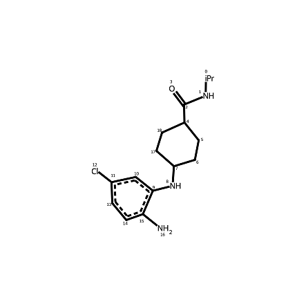 CC(C)NC(=O)C1CCC(Nc2cc(Cl)ccc2N)CC1